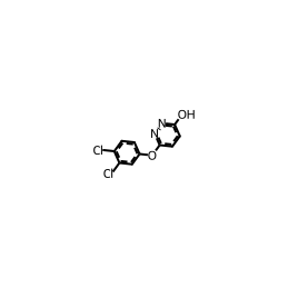 Oc1ccc(Oc2ccc(Cl)c(Cl)c2)nn1